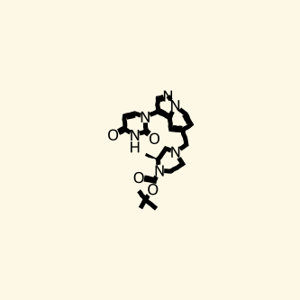 C[C@H]1CN(Cc2ccn3ncc(-n4ccc(=O)[nH]c4=O)c3c2)CCN1C(=O)OC(C)(C)C